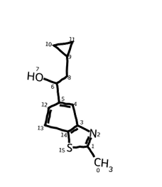 Cc1nc2cc(C(O)CC3CC3)ccc2s1